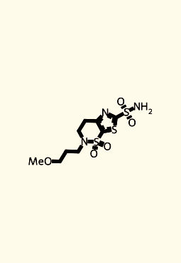 COCCCN1CCc2nc(S(N)(=O)=O)sc2S1(=O)=O